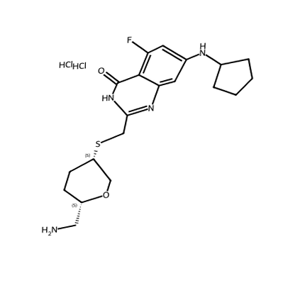 Cl.Cl.NC[C@@H]1CC[C@H](SCc2nc3cc(NC4CCCC4)cc(F)c3c(=O)[nH]2)CO1